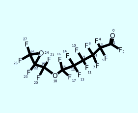 O=C(F)C(F)(F)C(F)(F)C(F)(F)C(F)(F)C(F)(F)OC(F)(F)C1(F)OC1(F)F